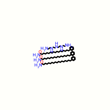 NC(=O)CCCCCCCCCCCCCCCCCc1ccccc1.NC(=O)CCCCCCCCCCCCCCCCCc1ccccc1.NC(=O)CCCCCCCCCCCCCCCCCc1ccccc1.NCCNCCNCCNCCN